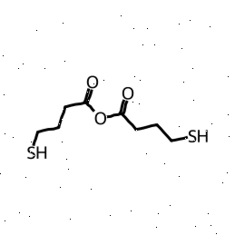 O=C(CCCS)OC(=O)CCCS